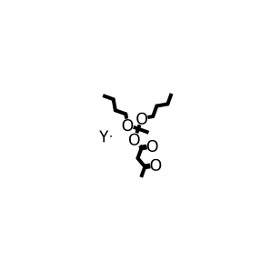 CCCCOC(C)(OCCCC)OC(=O)CC(C)=O.[Y]